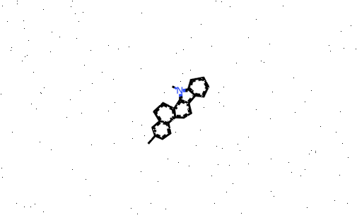 Cc1ccc2c(ccc3c2ccc2c4ccccc4n(C)c32)c1